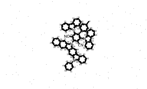 Cc1ccc(-c2c(-n3c4ccccc4c4ccccc43)c(C#N)c(-n3c4cc5ccccc5cc4c4cc5c(cc43)c3ccccc3n5-c3ccccc3)c(C#N)c2-n2c3ccccc3c3ccccc32)cc1